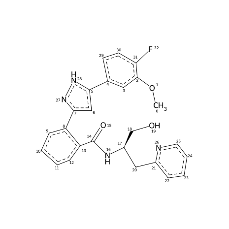 COc1cc(-c2cc(-c3ccccc3C(=O)N[C@@H](CO)Cc3ccccn3)n[nH]2)ccc1F